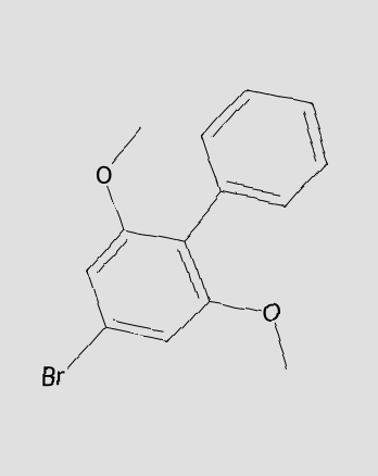 COc1cc(Br)cc(OC)c1-c1ccccc1